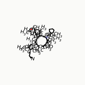 CC[C@H]1OC(=O)[C@H](C)[C@@H](O[C@H]2C[C@@](C)(OC)[C@@H](OCCC#N)[C@H](C)O2)[C@H](C)[C@@H](O[C@@H]2O[C@H](C)C[C@H](N(C)C)[C@H]2OC(C)=O)[C@](C)(OC)C[C@@H](C)/C(=N\OC2(OC(C)C)CCCCC2)[C@H](C)[C@H]2OC(=O)O[C@@]21C